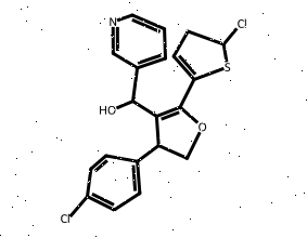 OC(C1=C(C2=CCC(Cl)S2)OCC1c1ccc(Cl)cc1)c1cccnc1